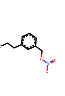 CCCc1cccc(CO[N+](=O)[O-])c1